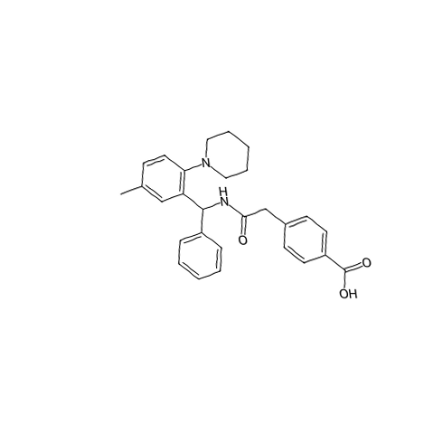 Cc1ccc(N2CCCCC2)c(C(NC(=O)Cc2ccc(C(=O)O)cc2)c2ccccc2)c1